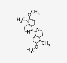 COc1ccc2c(c1C)CCN=C2C1=NCCc2c1ccc(OC)c2C